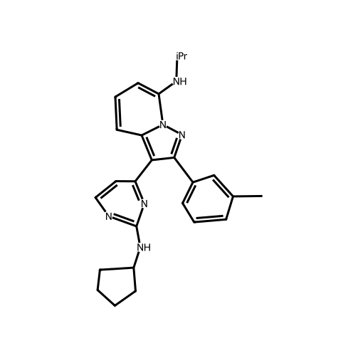 Cc1cccc(-c2nn3c(NC(C)C)cccc3c2-c2ccnc(NC3CCCC3)n2)c1